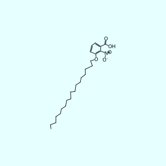 CCCCCCCCCCCCCCCCCCOc1cccc(C(=O)O)c1[N+](=O)[O-]